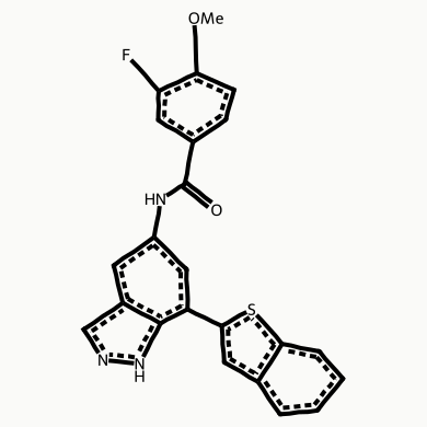 COc1ccc(C(=O)Nc2cc(-c3cc4ccccc4s3)c3[nH]ncc3c2)cc1F